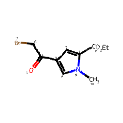 CCOC(=O)c1cc(C(=O)CBr)cn1C